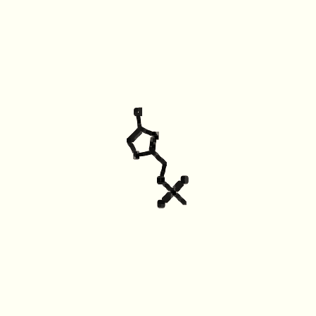 CS(=O)(=O)OCc1nc(Cl)cs1